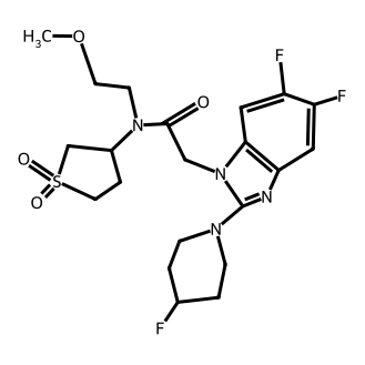 COCCN(C(=O)Cn1c(N2CCC(F)CC2)nc2cc(F)c(F)cc21)C1CCS(=O)(=O)C1